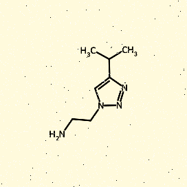 CC(C)c1cn(CCN)nn1